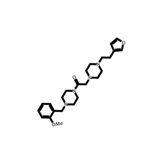 COc1ccccc1CN1CCN(C(=O)CN2CCN(CCc3ccoc3)CC2)CC1